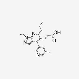 CCCc1nc2c(cnn2CC)c(-c2cncc(C)c2)c1/C=C/C(=O)O